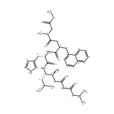 COC(=O)CN(C)C(=O)CC(Cc1cccc2ccccc12)C(=O)N[C@@H](Cc1c[nH]cn1)C(=O)N[C@@H](CC(C)C)[C@@H](O)CC(=O)NC(=O)CC(C)C